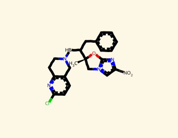 C[C@]1(C(BN2CCc3nc(Cl)ccc3C2)Cc2ccccc2)Cn2cc([N+](=O)[O-])nc2O1